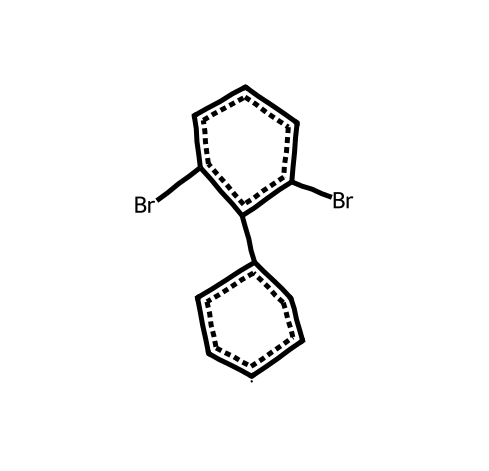 Brc1cccc(Br)c1-c1cc[c]cc1